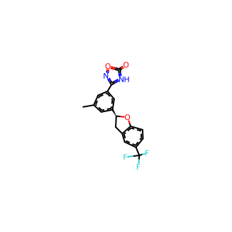 Cc1cc(-c2noc(=O)[nH]2)cc([C@@H]2Cc3cc(C(F)(F)F)ccc3O2)c1